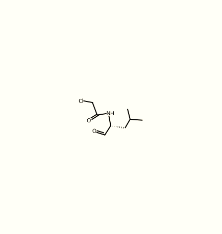 CC(C)C[C@H](C=O)NC(=O)CCl